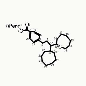 CCCCCOC(=O)c1ccc(CCC(C2CCCCCCC2)C2CCCCCCC2)cc1